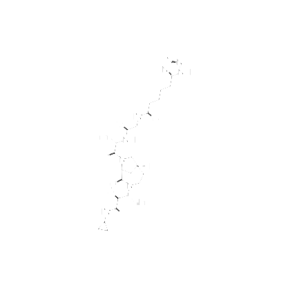 CCCC(C(=O)C(=O)NC1CC1)N1CC[C@@H]2CC(C1=O)N(C(=O)C(NC(=O)CNC(=O)CCCCc1nnn[nH]1)C(C)C)C2